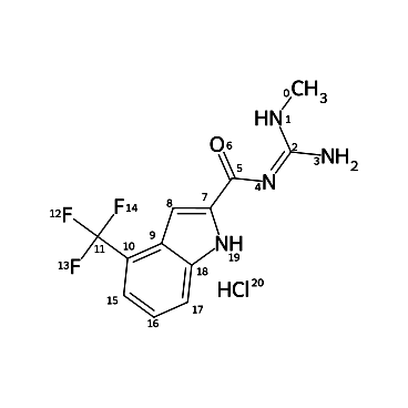 CNC(N)=NC(=O)c1cc2c(C(F)(F)F)cccc2[nH]1.Cl